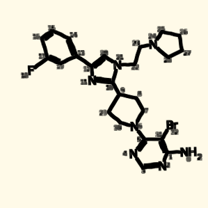 Nc1ncnc(N2CCC(c3nc(-c4cccc(F)c4)cn3CCN3CCCC3)CC2)c1Br